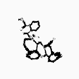 N[N@@+]1(C(=O)[C@@H]2CCCC[C@@H]2C(=O)O)CCc2ccccc2C1CN1C(=O)c2ccccc2C1=O